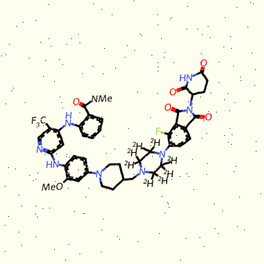 [2H]C1([2H])N(CC2CCN(c3ccc(Nc4cc(Nc5ccccc5C(=O)NC)c(C(F)(F)F)cn4)c(OC)c3)CC2)C([2H])([2H])C([2H])([2H])N(c2ccc3c(c2F)C(=O)N(C2CCC(=O)NC2=O)C3=O)C1([2H])[2H]